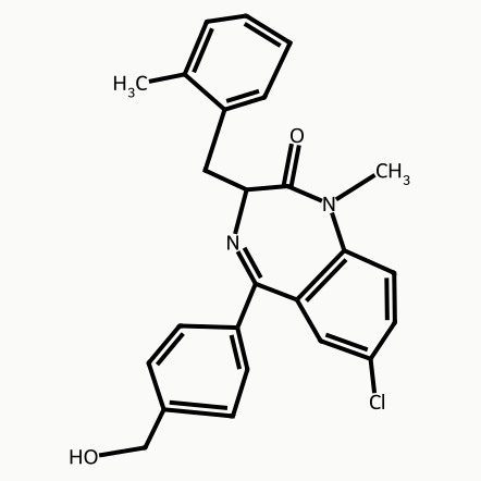 Cc1ccccc1CC1N=C(c2ccc(CO)cc2)c2cc(Cl)ccc2N(C)C1=O